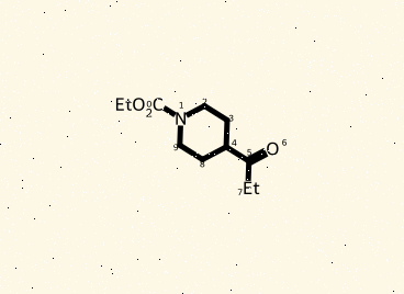 CCOC(=O)N1CCC(C(=O)CC)CC1